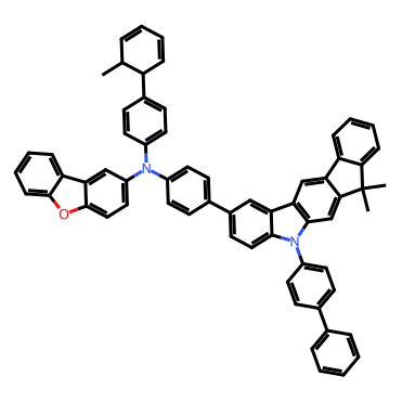 CC1C=CC=CC1c1ccc(N(c2ccc(-c3ccc4c(c3)c3cc5c(cc3n4-c3ccc(-c4ccccc4)cc3)C(C)(C)c3ccccc3-5)cc2)c2ccc3oc4ccccc4c3c2)cc1